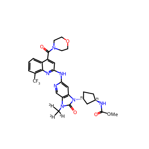 [2H]C([2H])([2H])n1c(=O)n([C@@H]2CC[C@@H](NC(=O)OC)C2)c2cc(Nc3cc(C(=O)N4CCOCC4)c4cccc(C(F)(F)F)c4n3)ncc21